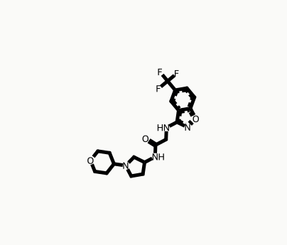 O=C(CNc1noc2ccc(C(F)(F)F)cc12)NC1CCN(C2CCOCC2)C1